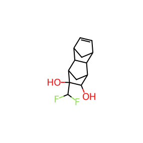 OC1C2CC(C3C4C=CC(C4)C23)C1(O)C(F)F